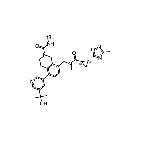 Cc1noc([C@@H]2C[C@H]2C(=O)NCc2ccc(-c3cncc(C(C)(C)O)c3)c3c2CN(C(=O)NC(C)(C)C)CC3)n1